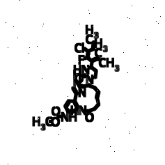 C/C=C\C(Cl)=C(\F)C(=C(C)C)C1CCN(C2C/C=C/CCC(=O)Nc3cc(NC(=O)OC)ccc3-c3c[nH]c2n3)C(=O)N1